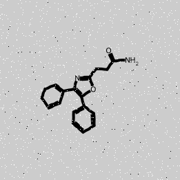 NC(=O)CCc1nc(C2=CCCC=C2)c(-c2ccccc2)o1